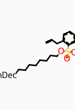 C=CCc1ccccc1S(=O)(=O)OCCCCCCCCCCCCCCCCCC